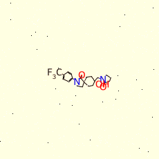 O=C1CCCN1C[C@]1(O)CC[C@]2(CCN(c3ccc(C(F)(F)F)cc3)C2=O)CC1